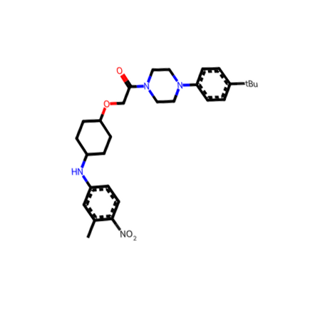 Cc1cc(NC2CCC(OCC(=O)N3CCN(c4ccc(C(C)(C)C)cc4)CC3)CC2)ccc1[N+](=O)[O-]